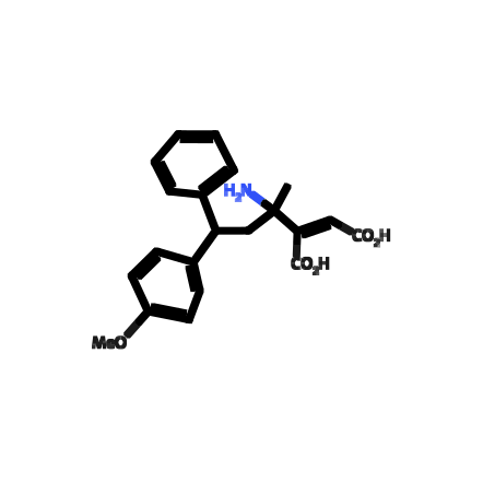 COc1ccc(C(CC(C)(N)/C(=C/C(=O)O)C(=O)O)c2ccccc2)cc1